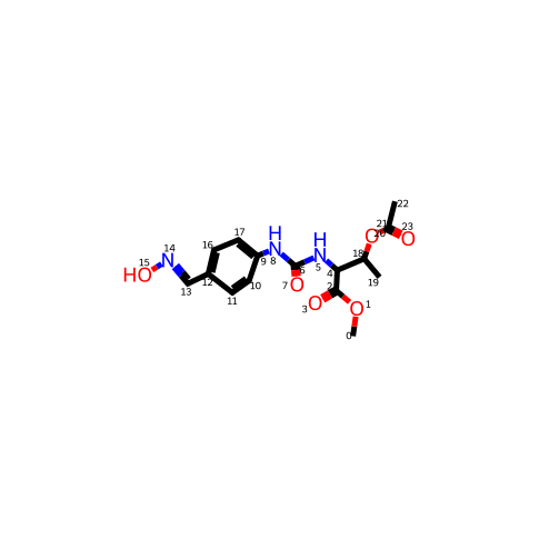 COC(=O)C(NC(=O)Nc1ccc(C=NO)cc1)C(C)OC(C)=O